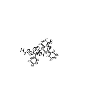 COC(=O)C(NC(=O)c1cc(-c2ccccc2)nc2c(F)cccc12)c1ccccc1